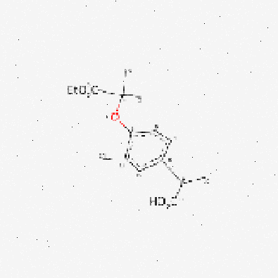 CCOC(=O)C(C)(C)Oc1ccc(C(C)C(=O)O)cc1C